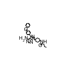 CCCC(=O)NC1CCC(n2nc(-c3ccc(Oc4ccccc4)cc3)c3c(N)ncnc32)CC1